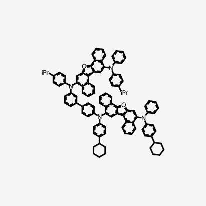 CC(C)c1ccc(N(c2ccccc2)c2cc3c(oc4cc(N(c5ccc(C(C)C)cc5)c5cccc(-c6ccc(N(c7ccc(C8CCCCC8)cc7)c7cc8c(oc9cc(N(c%10ccccc%10)c%10ccc(C%11CCCCC%11)cc%10)c%10ccccc%10c98)c8ccccc78)cc6)c5)c5ccccc5c43)c3ccccc23)cc1